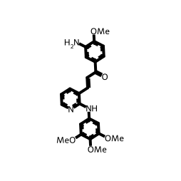 COc1ccc(C(=O)/C=C/c2cccnc2Nc2cc(OC)c(OC)c(OC)c2)cc1N